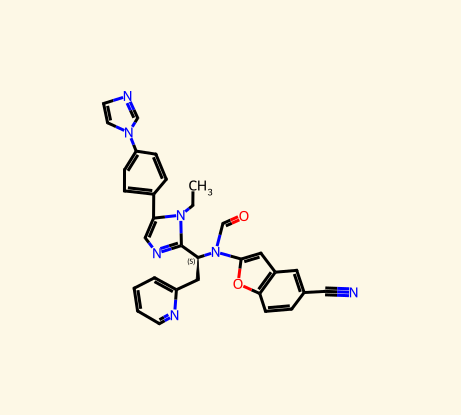 CCn1c(-c2ccc(-n3ccnc3)cc2)cnc1[C@H](Cc1ccccn1)N(C=O)c1cc2cc(C#N)ccc2o1